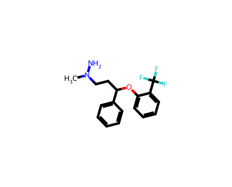 CN(N)CCC(Oc1ccccc1C(F)(F)F)c1ccccc1